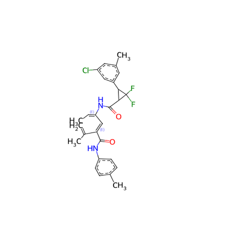 C=C(C)/C(=C\C(=C/C)NC(=O)C1C(c2cc(C)cc(Cl)c2)C1(F)F)C(=O)Nc1ccc(C)cc1